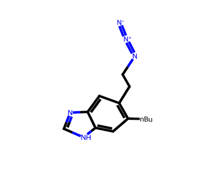 CCCCc1cc2[nH]cnc2cc1CCN=[N+]=[N-]